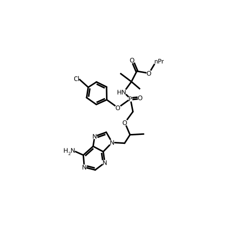 CCCOC(=O)C(C)(C)NP(=O)(COC(C)Cn1cnc2c(N)ncnc21)Oc1ccc(Cl)cc1